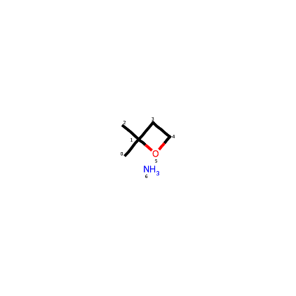 CC1(C)CCO1.N